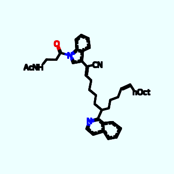 CCCCCCCC/C=C\CCCC(CCCC/C=C(\C#N)c1cn(C(=O)CCNC(C)=O)c2ccccc12)c1nccc2ccccc12